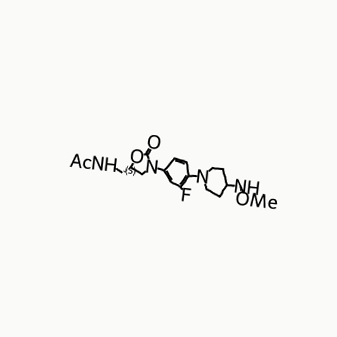 CONC1CCN(c2ccc(N3C[C@H](CNC(C)=O)OC3=O)cc2F)CC1